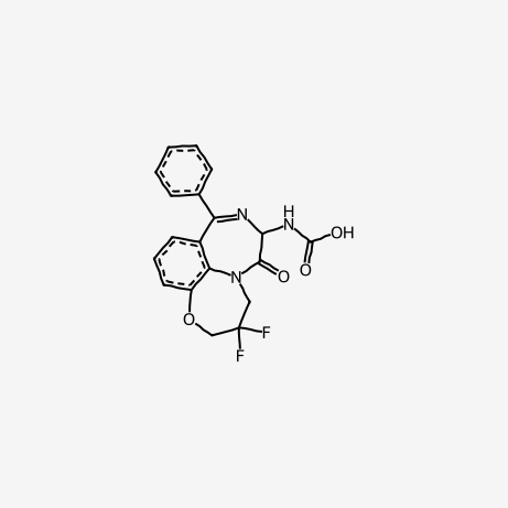 O=C(O)NC1N=C(c2ccccc2)c2cccc3c2N(CC(F)(F)CO3)C1=O